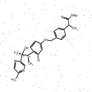 COC(=O)C(C)c1ccc(COc2ccc([C@@H](C)[C@@](O)(c3cnc(C)cn3)C(F)(F)F)c(Cl)c2)cc1